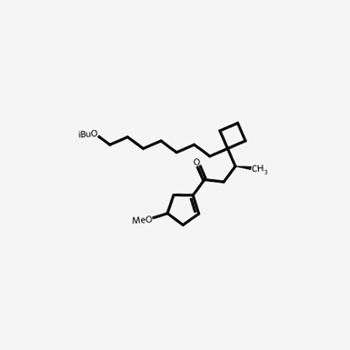 COC1CC=C(C(=O)C[C@H](C)C2(CCCCCCCOCC(C)C)CCC2)C1